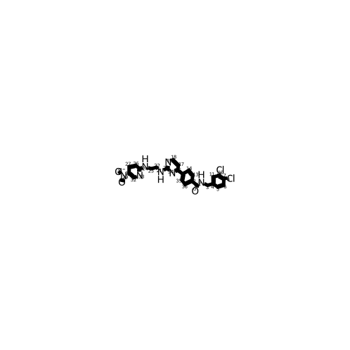 O=C(NCc1ccc(Cl)c(Cl)c1)c1ccc(-c2ccnc(NCCNc3ccc([N+](=O)[O-])cn3)n2)cc1